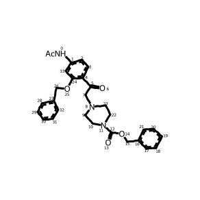 CC(=O)Nc1ccc(C(=O)CN2CCN(C(=O)OCc3ccccc3)CC2)c(OCc2ccccc2)c1